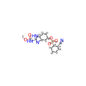 COC(=O)Nc1nc2cc(OS(=O)(=O)c3ccccc3C#N)ccc2[nH]1